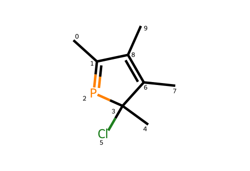 CC1=PC(C)(Cl)C(C)=C1C